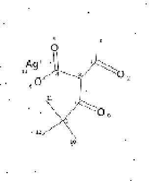 CC(=O)C(C(=O)[O-])C(=O)C(C)(C)C.[Ag+]